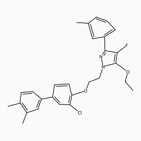 CCOc1c(F)c(-c2cccc(C)c2)nn1CCOc1ccc(-c2ccc(C)c(C)c2)cc1Cl